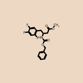 COC(=O)CC(Cc1cc(F)c(F)cc1F)NC(=O)OCc1ccccc1